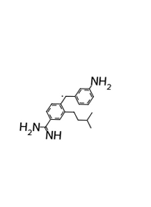 CC(C)CCc1cc(C(=N)N)ccc1[CH]c1cccc(N)c1